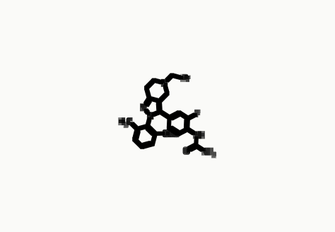 Cc1cccc(OCC(C)C)c1-n1nc2c(c1-c1ccc(NC(N)=O)c(F)c1)CN(CC(C)C)CC2